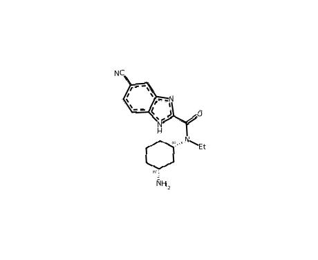 CCN(C(=O)c1nc2cc(C#N)ccc2[nH]1)[C@H]1CCC[C@@H](N)C1